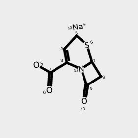 O=C([O-])C1=CCSC2CC(=O)N12.[Na+]